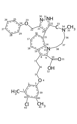 Cc1cc(OCCCc2c(C(=O)O)n3c4c(cccc24)-c2c(COc4ccccc4)n[nH]c2CN(C)CCC3)cc(C)c1Cl